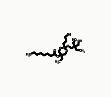 CCCCCCCC(=O)OC1(CC)CO[Si](CCCS)(OCC(CC)(CO)CO)OC1